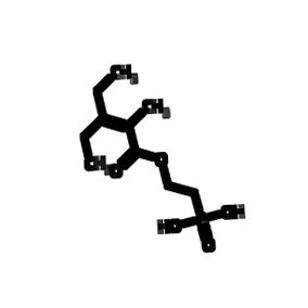 CCC(CC)=C(C)C(=O)OCCP(=O)(O)O